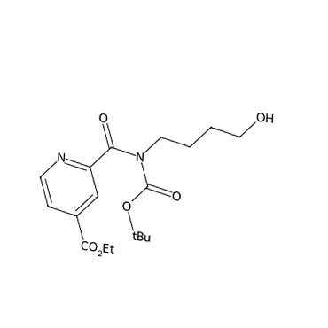 CCOC(=O)c1ccnc(C(=O)N(CCCCO)C(=O)OC(C)(C)C)c1